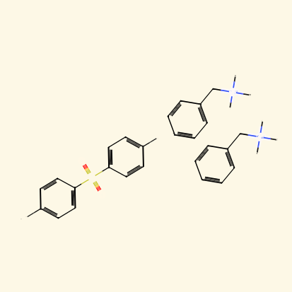 CC[N+](CC)(CC)Cc1ccccc1.CC[N+](CC)(CC)Cc1ccccc1.O=C([O-])c1ccc(S(=O)(=O)c2ccc(C(=O)[O-])cc2)cc1